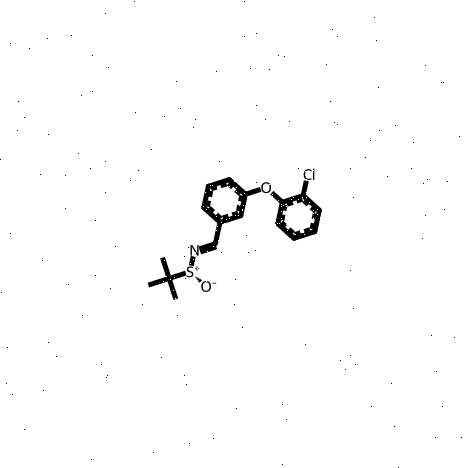 CC(C)(C)[S@@+]([O-])N=Cc1cccc(Oc2ccccc2Cl)c1